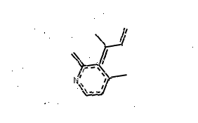 C=C/C(C)=c1\c(C)ccnc1=C